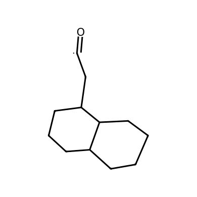 O=[C]CC1CCCC2CCCCC12